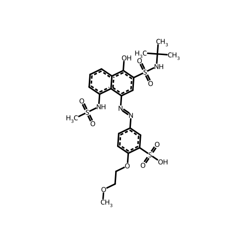 COCCOc1ccc(N=Nc2cc(S(=O)(=O)NC(C)(C)C)c(O)c3cccc(NS(C)(=O)=O)c23)cc1S(=O)(=O)O